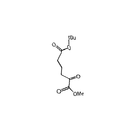 COC(=O)C(=O)CCCC(=O)OC(C)(C)C